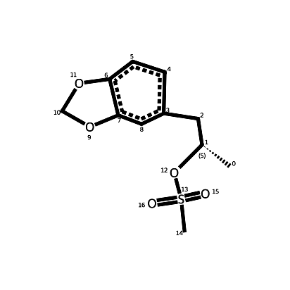 C[C@@H](Cc1ccc2c(c1)OCO2)OS(C)(=O)=O